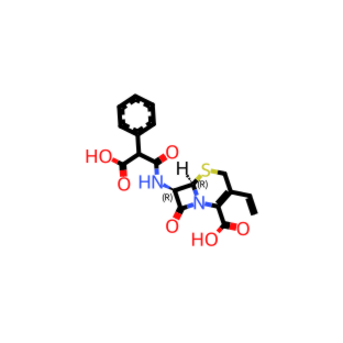 C=CC1=C(C(=O)O)N2C(=O)[C@@H](NC(=O)C(C(=O)O)c3ccccc3)[C@H]2SC1